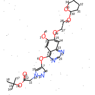 COc1cc2c(Oc3cnn(CC(=O)OC(C)(C)C)c3)ncnc2cc1OCCOC1CCCCO1